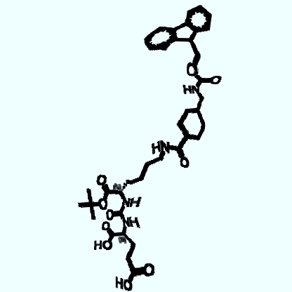 CC(C)(C)OC(=O)[C@H](CCCCNC(=O)C1CCC(CNC(=O)OCC2c3ccccc3-c3ccccc32)CC1)NC(=O)N[C@@H](CCC(=O)O)C(=O)O